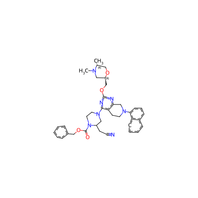 C[C@@H]1CO[C@@H](COc2nc3c(c(N4CCN(C(=O)OCc5ccccc5)C(CC#N)C4)n2)CCN(c2cccc4ccccc24)C3)CN1C